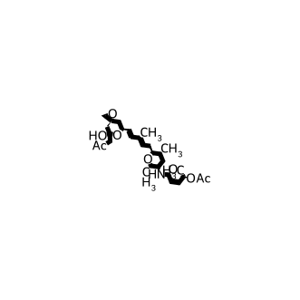 CC(=O)CC1(O)C[C@@]2(CO2)C[C@@H](/C=C/C(C)=C/C[C@@H]2O[C@H](C)[C@H](NC(=O)/C=C\[C@H](C)OC(C)=O)C[C@@H]2C)O1